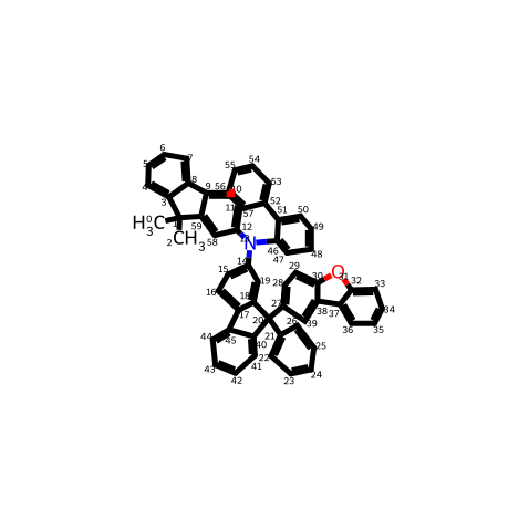 CC1(C)c2ccccc2-c2ccc(N(c3ccc4c(c3)C(c3ccccc3)(c3ccc5oc6ccccc6c5c3)c3ccccc3-4)c3ccccc3-c3ccccc3)cc21